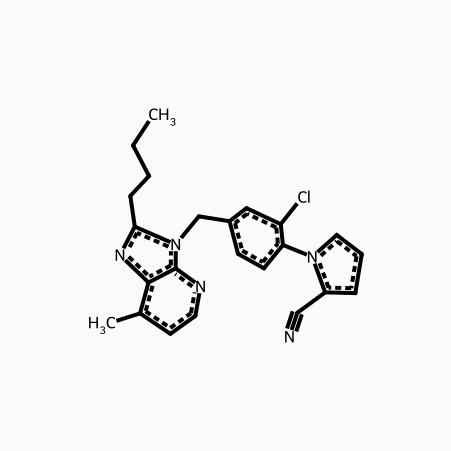 CCCCc1nc2c(C)ccnc2n1Cc1ccc(-n2cccc2C#N)c(Cl)c1